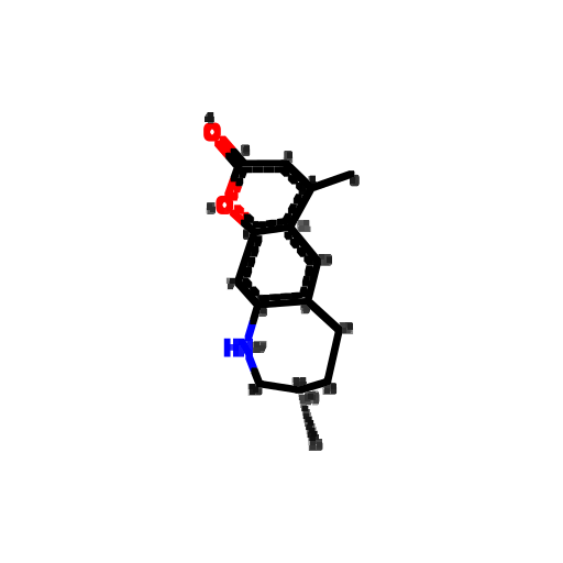 Cc1cc(=O)oc2cc3c(cc12)CC[C@H](C)CN3